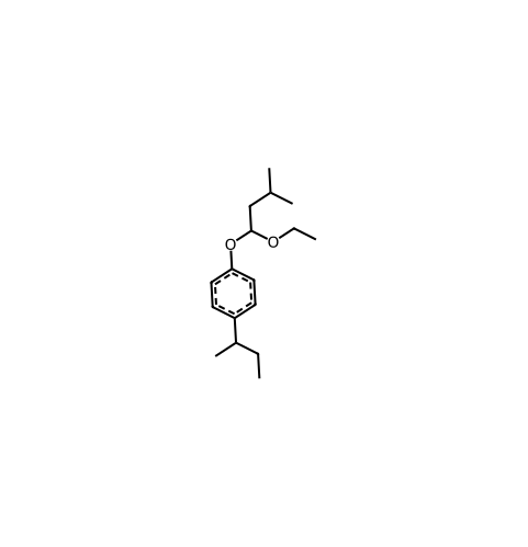 CCOC(CC(C)C)Oc1ccc(C(C)CC)cc1